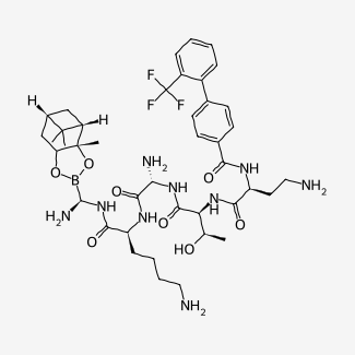 C[C@@H](O)[C@H](NC(=O)[C@H](CCN)NC(=O)c1ccc(-c2ccccc2C(F)(F)F)cc1)C(=O)N[C@@H](N)C(=O)N[C@@H](CCCCN)C(=O)N[C@@H](N)B1OC2C[C@@H]3C[C@@H](C3(C)C)[C@]2(C)O1